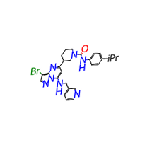 CC(C)c1ccc(NC(=O)N2CCCC(c3cc(NCc4cccnc4)n4ncc(Br)c4n3)C2)cc1